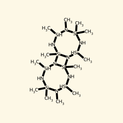 CN1[SiH](C)N[Si]2(C)N([SiH](C)N[Si]1(C)C)[Si]1(C)N[SiH](C)N(C)[Si](C)(C)N[SiH](C)N21